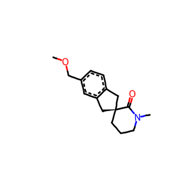 COCc1ccc2c(c1)C[C@@]1(CCCN(C)C1=O)C2